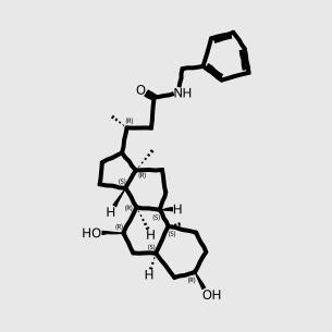 C[C@H](CC(=O)NCc1ccccc1)C1CC[C@H]2[C@@H]3[C@H](O)C[C@@H]4C[C@H](O)CC[C@]4(C)[C@H]3CC[C@]12C